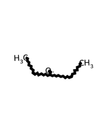 CCCCCCCC/C=C\CCCCCCCCC([C]=O)CCCCCC/C=C\CCCCCCCC